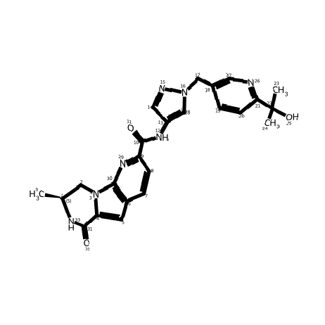 C[C@H]1Cn2c(cc3ccc(C(=O)Nc4cnn(Cc5ccc(C(C)(C)O)nc5)c4)nc32)C(=O)N1